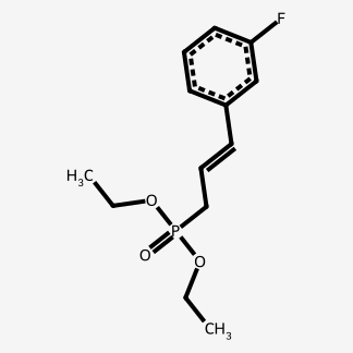 CCOP(=O)(CC=Cc1cccc(F)c1)OCC